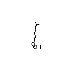 CC(C)=CCC/C(C)=C/COO